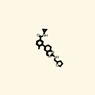 Cc1ccc(C(=O)NC2CC2)cc1C1=Cc2cnc(NCC3CCCO3)nc2CC1